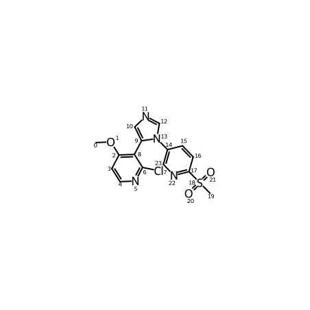 COc1ccnc(Cl)c1-c1cncn1-c1ccc(S(C)(=O)=O)nc1